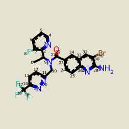 CC(c1ncccc1F)N(Cc1ccc(C(F)(F)F)nn1)C(=O)c1ccc2nc(N)c(Br)cc2c1